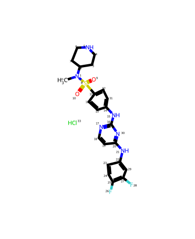 CN(C1CCNCC1)S(=O)(=O)c1ccc(Nc2nccc(Nc3ccc(F)c(F)c3)n2)cc1.Cl